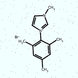 Cc1cc(C)c(-[n+]2ccn(C)c2)c(C)c1.[Br-]